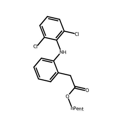 CCCCCOC(=O)Cc1ccccc1Nc1c(Cl)cccc1Cl